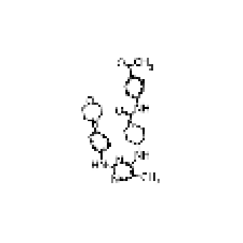 CC(=O)c1ccc(NC(=O)N2CCC(Nc3nc(Nc4ccc(N5CCOCC5)cc4)ncc3C)CC2)cc1